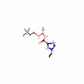 C=Cc1c[nH]c(C(=O)O[C@@H](CC)OCC[Si](C)(C)C)n1